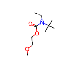 CCN(C(=O)OCCOC)C(C)(C)C